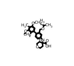 COc1cc(-c2ccc(NC3(C(=O)O)CCOCC3)cc2COC(C)C)c(F)c(OC)c1C